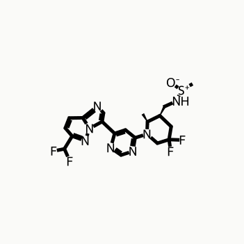 C[C@H]1[C@@H](CN[S+](C)[O-])CC(F)(F)CN1c1cc(-c2cnc3ccc(C(F)F)nn23)ncn1